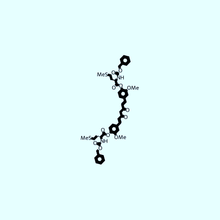 COc1cc(/C=C/C(=O)CC(=O)/C=C/c2ccc(OC(=O)[C@@H](CCSC)NC(=O)OCc3ccccc3)c(OC)c2)ccc1OC(=O)[C@@H](CCSC)NC(=O)OCc1ccccc1